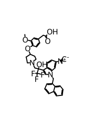 [C-]#[N+]c1ccc2c(C(O)(CN3CCC(Oc4ccc(CC(=O)O)cc4OC)CC3)C(F)(F)F)cn(Cc3cccc4ccccc34)c2c1